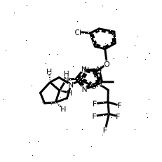 Cc1nnc(N2C[C@H]3CC[C@@H](C2)[C@@H]3Nc2nc(Oc3cccc(Cl)c3)n(CC(F)(F)C(F)(F)F)n2)o1